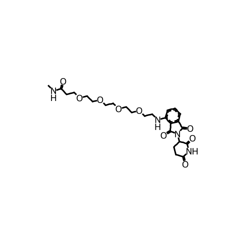 CNC(=O)CCOCCOCCOCCOCCNc1cccc2c1C(=O)N(C1CCC(=O)NC1=O)C2=O